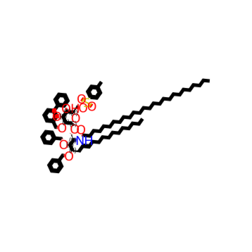 CCCCCCCCCCCC=CC[C@@H](OCc1ccccc1)[C@@H](OCc1ccccc1)[C@H](CO[C@H]1O[C@H](COS(=O)(=O)c2ccc(C)cc2)[C@H](O)[C@H](OCc2ccccc2)[C@H]1OCc1ccccc1)NC(=O)CCCCCCCCCCCCCCCCCCCCCCCCC